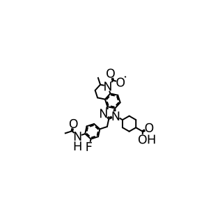 COC(=O)N1c2ccc3c(nc(Cc4ccc(NC(C)=O)c(F)c4)n3C3CCC(C(=O)O)CC3)c2CCC1C